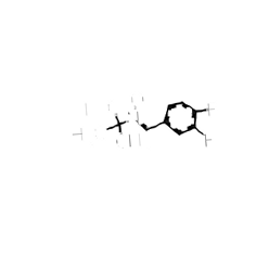 CC(C)(C)[N+]([O-])=Cc1ccc(F)c(F)c1